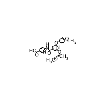 COC[C@@H](C)Oc1cc(C(=O)Nc2ccc(C(=O)O)cn2)cc(Oc2ccc(OC)cc2)n1